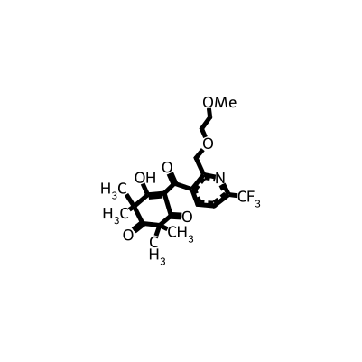 COCCOCc1nc(C(F)(F)F)ccc1C(=O)C1=C(O)C(C)(C)C(=O)C(C)(C)C1=O